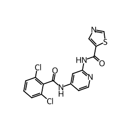 O=C(Nc1cc(NC(=O)c2c(Cl)cccc2Cl)ccn1)c1cncs1